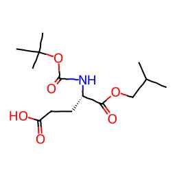 CC(C)COC(=O)[C@H](CCC(=O)O)NC(=O)OC(C)(C)C